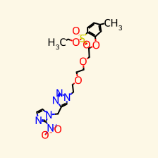 CCOS(=O)(=O)c1ccc(C)cc1OCCOCCOCCn1cc(Cn2ccnc2[N+](=O)[O-])nn1